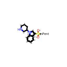 CCCCCS(=O)(=O)c1cn(C2CCCNC2)c2ccccc12